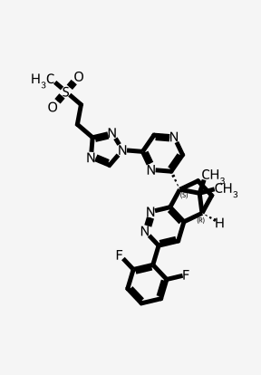 CC1(C)[C@H]2CC[C@]1(c1cncc(-n3cnc(CCS(C)(=O)=O)n3)n1)c1nnc(-c3c(F)cccc3F)cc12